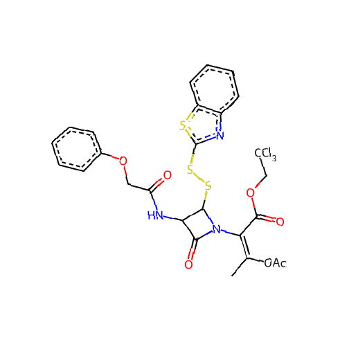 CC(=O)OC(C)=C(C(=O)OCC(Cl)(Cl)Cl)N1C(=O)C(NC(=O)COc2ccccc2)C1SSc1nc2ccccc2s1